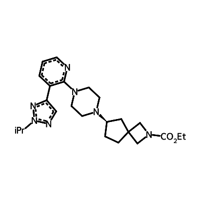 CCOC(=O)N1CC2(CC[C@@H](N3CCN(c4ncccc4-c4cnn(C(C)C)n4)CC3)C2)C1